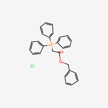 O=C(C[P+](c1ccccc1)(c1ccccc1)c1ccccc1)OCc1ccccc1.[Cl-]